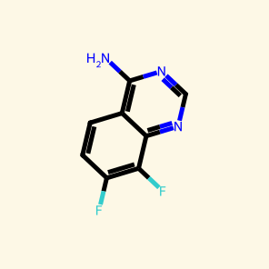 Nc1ncnc2c(F)c(F)ccc12